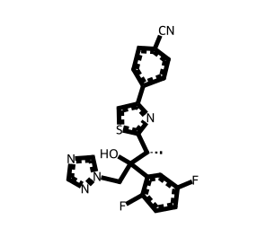 C[C@@H](c1nc(-c2ccc(C#N)cc2)cs1)C(O)(Cn1cncn1)c1cc(F)ccc1F